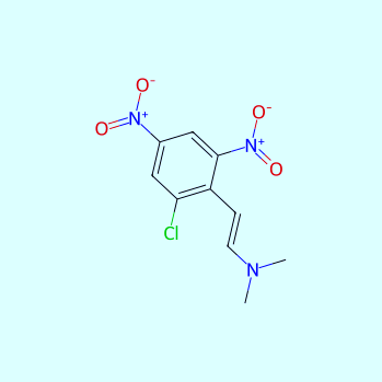 CN(C)/C=C/c1c(Cl)cc([N+](=O)[O-])cc1[N+](=O)[O-]